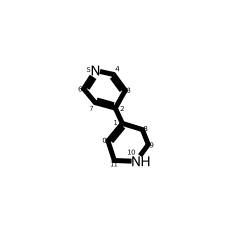 C1=C(c2ccncc2)CCNC1